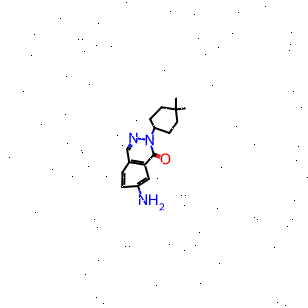 CC1(C)CCC(n2ncc3ccc(N)cc3c2=O)CC1